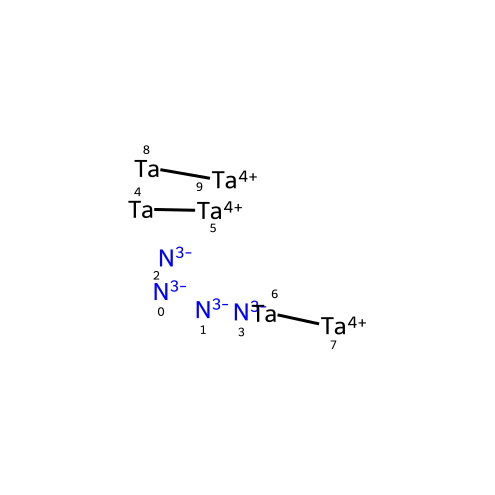 [N-3].[N-3].[N-3].[N-3].[Ta][Ta+4].[Ta][Ta+4].[Ta][Ta+4]